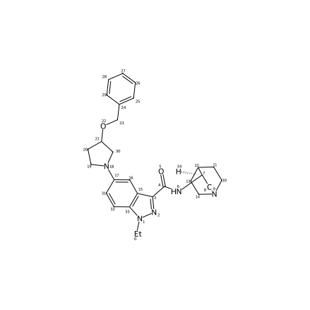 CCn1nc(C(=O)N[C@@H]2CN3CCC2CC3)c2cc(N3CCC(OCc4ccccc4)C3)ccc21